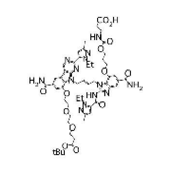 CCn1nc(C)cc1C(=O)Nc1nc2cc(C(N)=O)cc(OCCCOC(=O)NCCC(=O)O)c2n1CC=CCn1c2nc(-c3cc(C)nn3CC)ncc2c2cc(C(N)=O)cc(OCCOCCOCCC(=O)OC(C)(C)C)c21